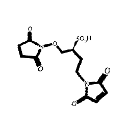 O=C1C=CC(=O)N1CC[C@@H](CON1C(=O)CCC1=O)S(=O)(=O)O